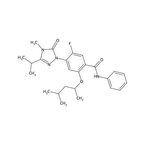 CC(C)CC(C)Oc1cc(-n2nc(C(C)C)n(C)c2=O)c(F)cc1C(=O)Nc1ccccc1